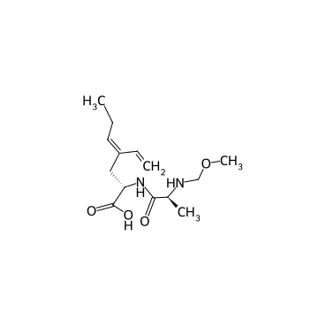 C=C/C(=C\CC)C[C@H](NC(=O)[C@H](C)NCOC)C(=O)O